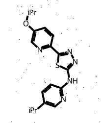 CC(C)Oc1ccc(-c2nnc(Nc3ccc(C(C)C)cn3)s2)nc1